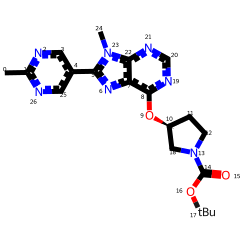 Cc1ncc(-c2nc3c(O[C@H]4CCN(C(=O)OC(C)(C)C)C4)ncnc3n2C)cn1